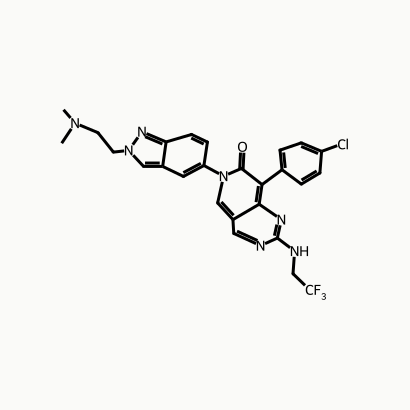 CN(C)CCn1cc2cc(-n3cc4cnc(NCC(F)(F)F)nc4c(-c4ccc(Cl)cc4)c3=O)ccc2n1